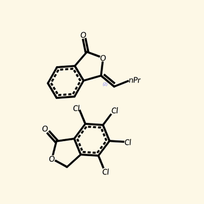 CCC/C=C1\OC(=O)c2ccccc21.O=C1OCc2c(Cl)c(Cl)c(Cl)c(Cl)c21